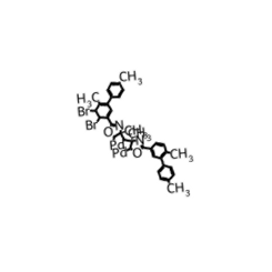 CC1=C(c2ccc(C)cc2)C=C(C2=N[C@](C)(C[C@@]3(C)N=C(c4ccc(C)c(-c5ccc(C)cc5)c4)O[CH]3[Pd])[CH]([Pd])O2)C(Br)C1Br